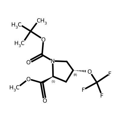 COC(=O)[C@@H]1C[C@@H](OC(F)(F)F)CN1C(=O)OC(C)(C)C